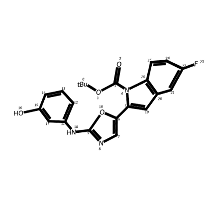 CC(C)(C)OC(=O)n1c(-c2cnc(Nc3cccc(O)c3)o2)cc2cc(F)ccc21